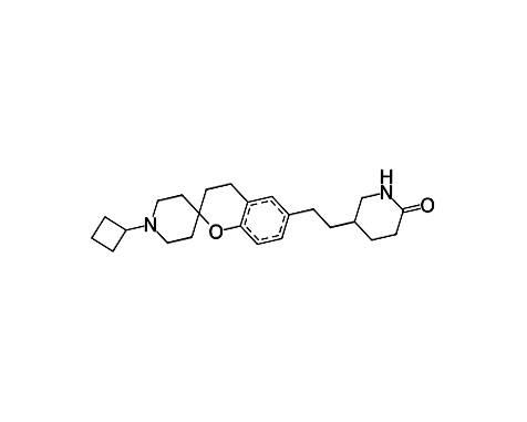 O=C1CCC(CCc2ccc3c(c2)CCC2(CCN(C4CCC4)CC2)O3)CN1